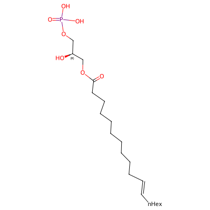 CCCCCCC=CCCCCCCCCCC(=O)OC[C@@H](O)COP(=O)(O)O